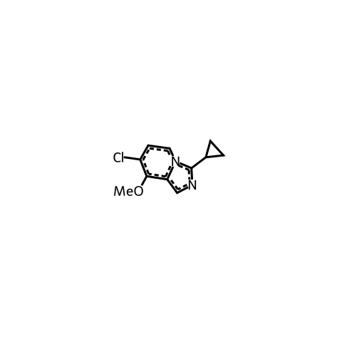 COc1c(Cl)ccn2c(C3CC3)ncc12